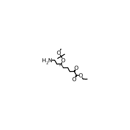 CCOC(=O)C(=O)CCC[C@@H](CCN)OC(C)(C)OC